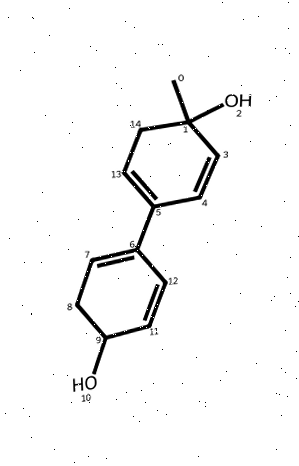 CC1(O)C=CC(C2=CCC(O)C=C2)=CC1